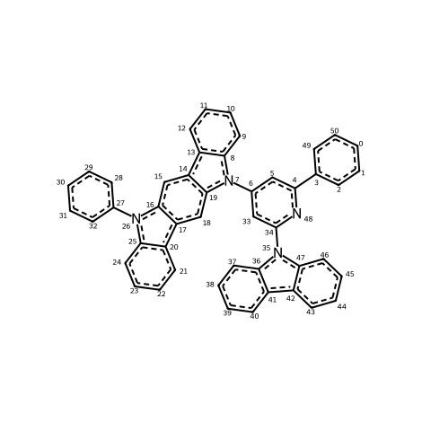 c1ccc(-c2cc(-n3c4ccccc4c4cc5c(cc43)c3ccccc3n5-c3ccccc3)cc(-n3c4ccccc4c4ccccc43)n2)cc1